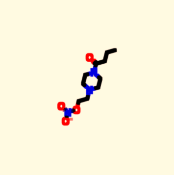 CCCC(=O)N1CCN(CCO[N+](=O)[O-])CC1